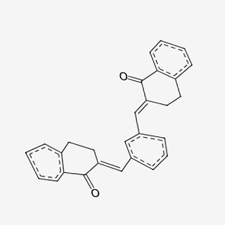 O=C1/C(=C/c2cccc(/C=C3\CCc4ccccc4C3=O)c2)CCc2ccccc21